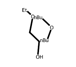 CCCCOCCCC.CCOCCO